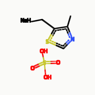 CCc1scnc1C.O=S(=O)(O)O.[NaH]